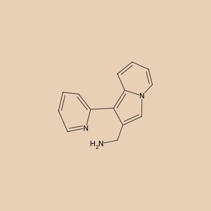 NCc1cn2ccccc2c1-c1ccccn1